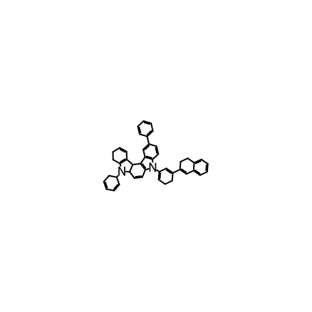 C1=CCC(N2C3=C(C=CCC3)C3c4c(n(C5=CCCC(C6=Cc7ccccc7CC6)=C5)c5ccc(-c6ccccc6)cc45)C=CC32)C=C1